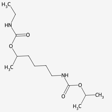 CCNC(=O)OC(C)CCCCNC(=O)OC(C)C